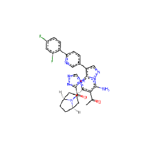 CC(=O)c1c([C@@H]2C[C@H]3CC[C@@H](C2)N3C(=O)c2nnc[nH]2)nc2c(-c3ccc(-c4ccc(F)cc4F)nc3)cnn2c1N